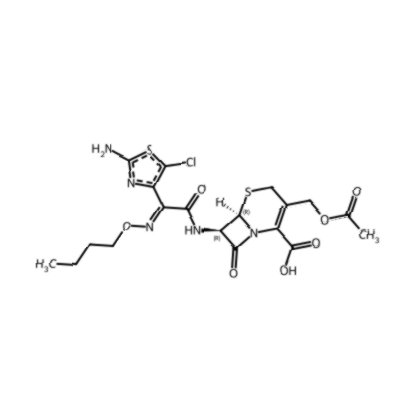 CCCCON=C(C(=O)N[C@@H]1C(=O)N2C(C(=O)O)=C(COC(C)=O)CS[C@H]12)c1nc(N)sc1Cl